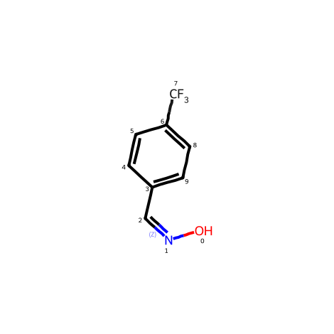 O/N=C\c1ccc(C(F)(F)F)cc1